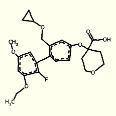 CCOc1cc(OC)cc(-c2ccc(OC3(C(=O)O)CCOCC3)cc2COC2CC2)c1F